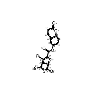 O=C(Oc1ccc2oc(=O)ccc2c1)c1sc2c(Br)sc(Br)c2c1F